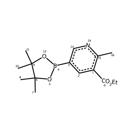 CCOC(=O)c1cc(B2OC(C)(C)C(C)(C)O2)cnc1C